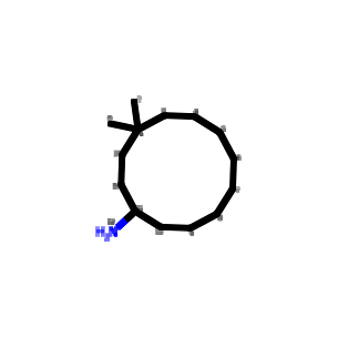 CC1(C)CCCCCCCCC(N)CC1